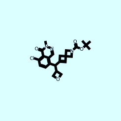 Cn1ncc2c(C(C3=CC4(C3)CN(C(=O)OC(C)(C)C)C4)C3COC3)ccc(Cl)c2c1=O